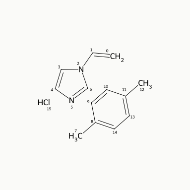 C=Cn1ccnc1.Cc1ccc(C)cc1.Cl